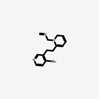 C=NCN1CC=CC=C1CCc1cnccc1C(C)CC